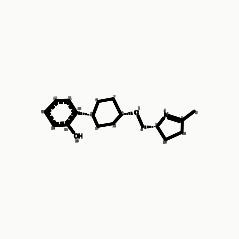 CC1=N[C@@H](CO[C@H]2CC[C@@H](c3ccccc3O)CC2)CC1